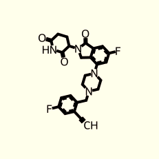 C#Cc1cc(F)ccc1CN1CCN(c2cc(F)cc3c2CN(C2CCC(=O)NC2=O)C3=O)CC1